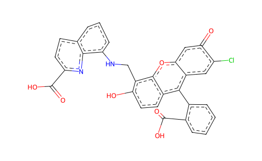 O=C(O)c1ccc2cccc(NCc3c(O)ccc4c(-c5ccccc5C(=O)O)c5cc(Cl)c(=O)cc-5oc34)c2n1